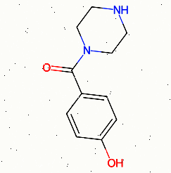 O=C(c1ccc(O)cc1)N1CCNCC1